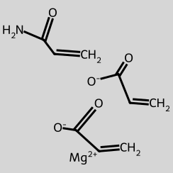 C=CC(=O)[O-].C=CC(=O)[O-].C=CC(N)=O.[Mg+2]